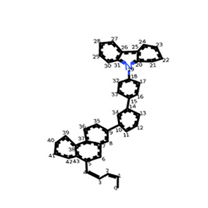 C/C=C\C=C/c1cc2cc(-c3cccc(-c4ccc(-n5c6ccccc6c6ccccc65)cc4)c3)ccc2c2ccccc12